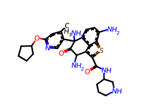 Cc1cc(OC2CCCC2)ncc1C1(N)C(=O)C(N)c2c(C(=O)NC3CCCNC3)sc3c(N)ccc1c23